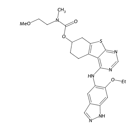 CCOc1cc2[nH]ncc2cc1Nc1ncnc2sc3c(c12)CCC(OC(=O)N(C)CCOC)C3